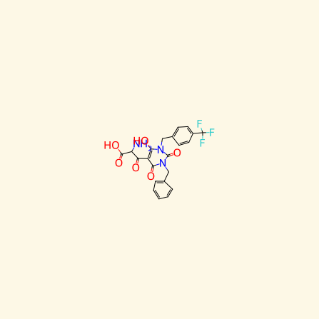 NC(C(=O)O)C(=O)c1c(O)n(Cc2ccc(C(F)(F)F)cc2)c(=O)n(Cc2ccccc2)c1=O